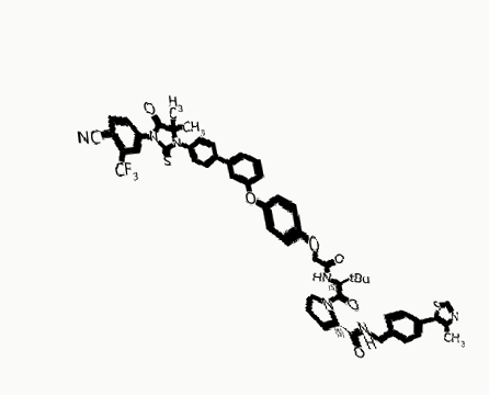 Cc1ncsc1-c1ccc(CNC(=O)[C@@H]2CCCN2C(=O)[C@@H](NC(=O)COc2ccc(Oc3cccc(-c4ccc(N5C(=S)N(c6ccc(C#N)c(C(F)(F)F)c6)C(=O)C5(C)C)cc4)c3)cc2)C(C)(C)C)cc1